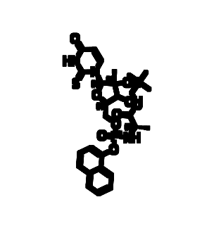 C[C@H](N[P@](=O)(OC[C@H]1O[C@@H](n2ccc(=O)[nH]c2=S)[C@](C)(O)C1O)Oc1cccc2ccccc12)C(=O)OCC(C)(C)C